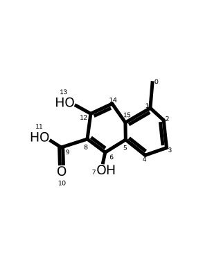 Cc1cccc2c(O)c(C(=O)O)c(O)cc12